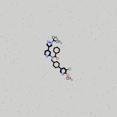 COc1ncc(C2CCC(CN(C(=O)C3CCCCC3)c3cc(-c4cnn(C(C)C)c4)ccn3)CC2)cc1Cl